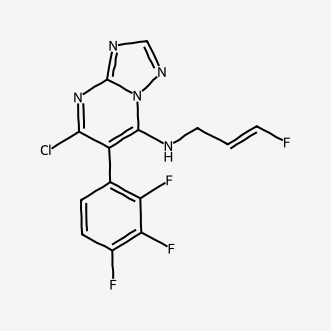 FC=CCNc1c(-c2ccc(F)c(F)c2F)c(Cl)nc2ncnn12